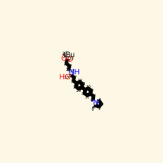 C[C@@H]1CCCN1CCc1ccc(-c2ccc(CCC(O)NCCCC(=O)OC(C)(C)C)cc2)cc1